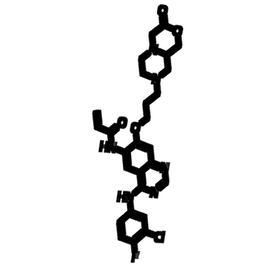 C=CC(=O)Nc1cc2c(Nc3ccc(F)c(Cl)c3)ncnc2cc1OCCCN1CCN2CC(=O)OCC2C1